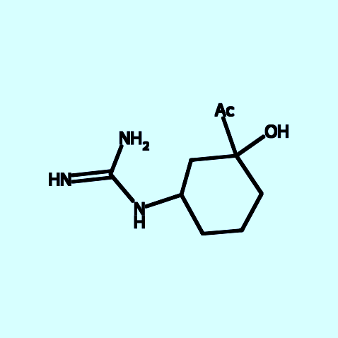 CC(=O)C1(O)CCCC(NC(=N)N)C1